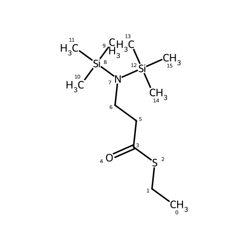 CCSC(=O)CCN([Si](C)(C)C)[Si](C)(C)C